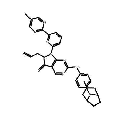 C=CCn1c(=O)c2cnc(Nc3ccc(N4C5CCC4CN(C)C5)cc3)nc2n1-c1cccc(-c2ncc(C)cn2)n1